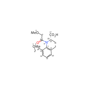 COC.COCC(=O)N(c1c(C)cccc1C)[C@@H](C)C(=O)O